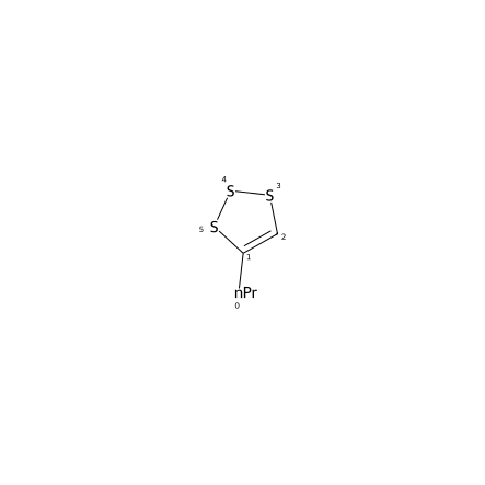 CCCC1=CSSS1